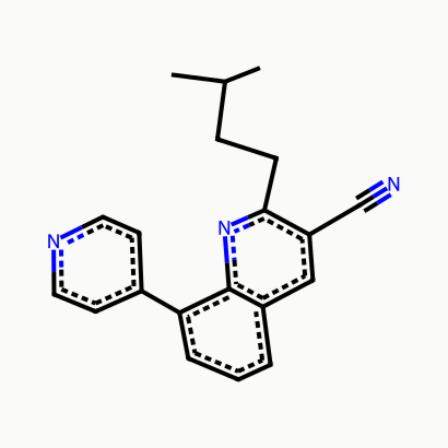 CC(C)CCc1nc2c(-c3ccncc3)cccc2cc1C#N